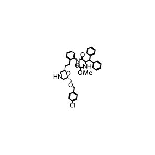 COC(=O)NC(C(=O)Nc1ccccc1CC[C@@H]1CNC[C@@H](COCc2ccc(Cl)cc2)O1)C(c1ccccc1)c1ccccc1